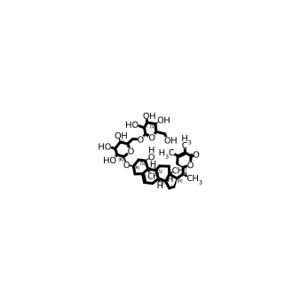 CC1=C(C)C(=O)O[C@@H]([C@@H](C)[C@H]2CC[C@H]3[C@@H]4CC=C5C[C@@H](O[C@@H]6OC(CO[C@@H]7OC(CO)[C@@H](O)C(O)C7O)[C@@H](O)C(O)C6O)C[C@H](O)[C@]5(C)[C@H]4CC[C@]23C)C1